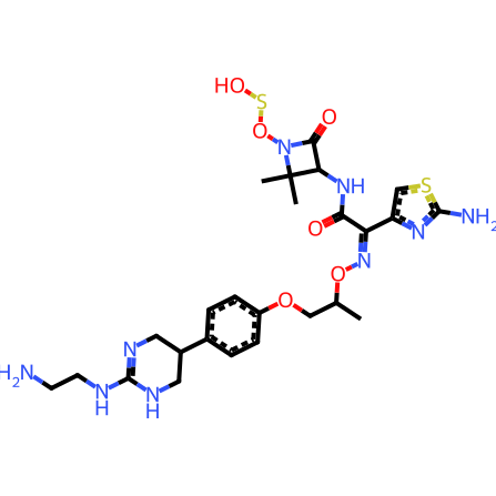 CC(COc1ccc(C2CN=C(NCCN)NC2)cc1)O/N=C(\C(=O)NC1C(=O)N(OSO)C1(C)C)c1csc(N)n1